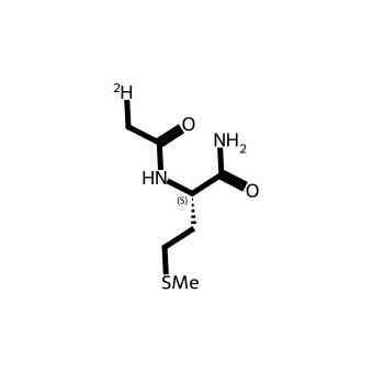 [2H]CC(=O)N[C@@H](CCSC)C(N)=O